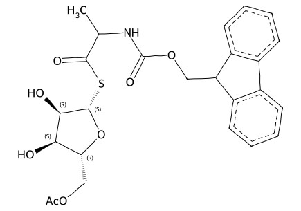 CC(=O)OC[C@H]1O[C@@H](SC(=O)C(C)NC(=O)OCC2c3ccccc3-c3ccccc32)[C@H](O)[C@@H]1O